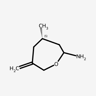 C=C1COC(N)C[C@@H](C)C1